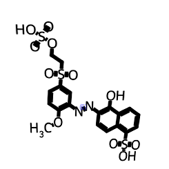 COc1ccc(S(=O)(=O)CCOS(=O)(=O)O)cc1/N=N/c1ccc2c(S(=O)(=O)O)cccc2c1O